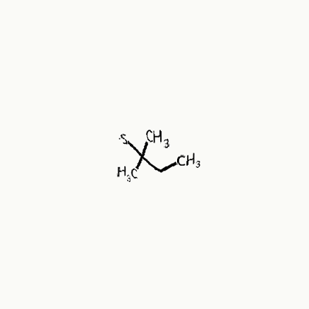 CCC(C)(C)[S]